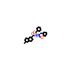 Cc1ccc2cc(C(=O)NN(C(=O)c3ccccc3)[C@H](C=O)Cc3ccccc3)ccc2c1